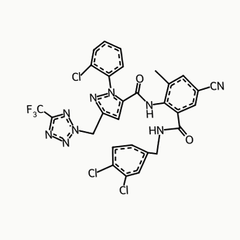 Cc1cc(C#N)cc(C(=O)NCc2ccc(Cl)c(Cl)c2)c1NC(=O)c1cc(Cn2nnc(C(F)(F)F)n2)nn1-c1ccccc1Cl